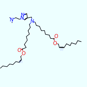 CCCCCC/C=C\COC(=O)CCCCCCCCN(CCCCCCCCC(=O)OC/C=C\CCCCCC)Cc1cnn(CCN(C)C)c1